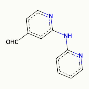 O=Cc1ccnc(Nc2ccccn2)c1